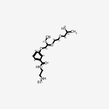 CCNCCNC(=O)c1cccc(OCC(OCCOCC(C)S)SC#N)c1